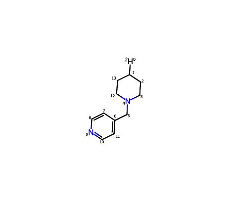 [2H]C1CCN(Cc2ccncc2)CC1